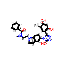 CC(C)c1cc(-c2nnc(O)n2-c2ccc3c(ccn3CCN(C)C(=O)c3ccccc3)c2)c(O)cc1O